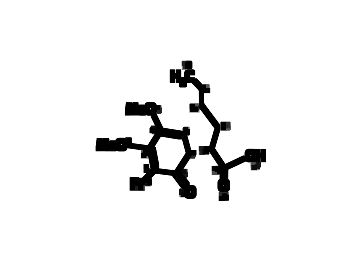 CCC1=C(OC)C(OC)=CCC1=O.CCCCCC(=O)O